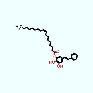 CCCCCCCC/C=C\CCCCCCCC(=O)Oc1cc(C=Cc2ccccc2)cc(O)c1O